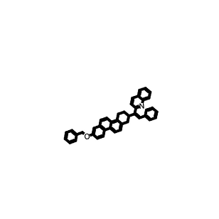 C(=C(c1ccc2ccccc2n1)C1CCc2c(ccc3c2ccc2cc(OCc4ccccc4)ccc23)C1)c1ccccc1